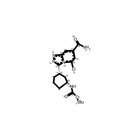 CC(C)(C)OC(=O)N[C@@H]1CCC[C@H](c2nnc3cc(C(N)=O)cc(Cl)n23)C1